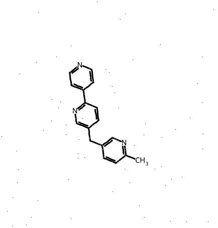 Cc1ccc(Cc2ccc(-c3ccncc3)nc2)cn1